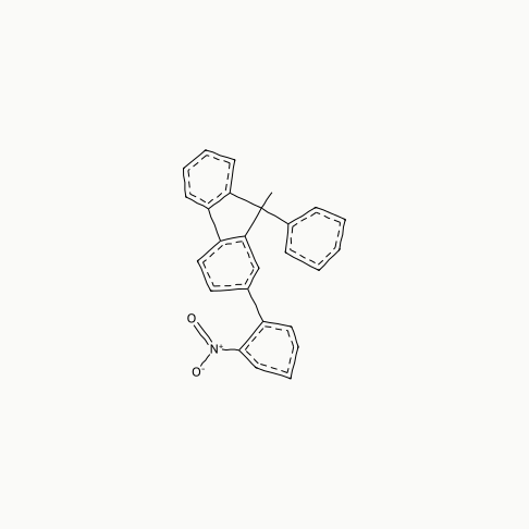 CC1(c2ccccc2)c2ccccc2-c2ccc(-c3ccccc3[N+](=O)[O-])cc21